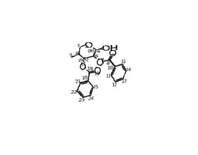 C[C@H]1CO[C@@H](O)C(OC(=O)c2ccccc2)[C@@H]1OC(=O)c1ccccc1